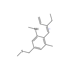 C=C/C(=C\c1c(C)cc(CSC)cc1NC)CC